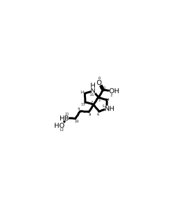 O=C(O)C12CNCC1(CCCBO)CCN2